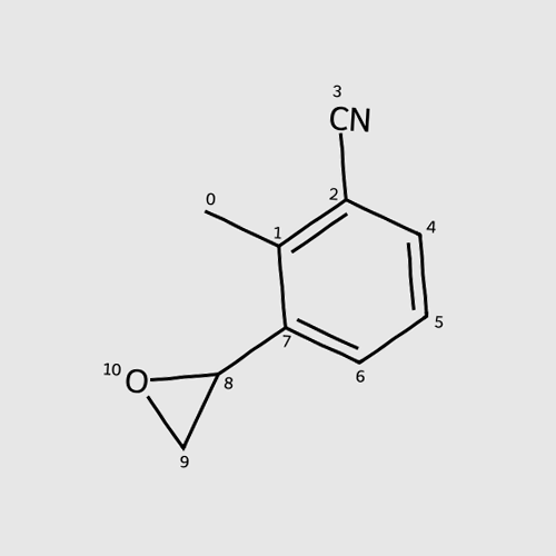 Cc1c(C#N)cccc1C1CO1